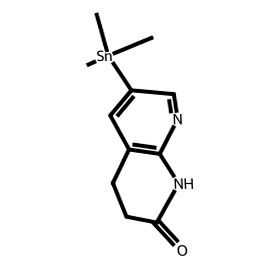 [CH3][Sn]([CH3])([CH3])[c]1cnc2c(c1)CCC(=O)N2